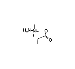 CCC(=O)[O-].C[N+](C)(C)N